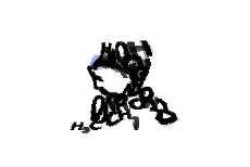 CC(C)C(=O)N[C@H]1CCCCC/C=C\[C@@H]2C[C@@]2(C(=O)O)NC(=O)[C@@H]2C[C@@H](OC(=O)N3CCc4ccccc4C3)CN2C1=O